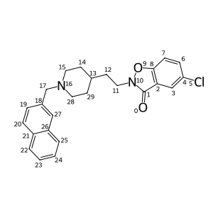 O=c1c2cc(Cl)ccc2on1CCC1CCN(Cc2ccc3ccccc3c2)CC1